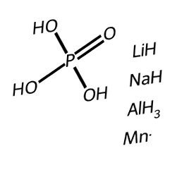 O=P(O)(O)O.[AlH3].[LiH].[Mn].[NaH]